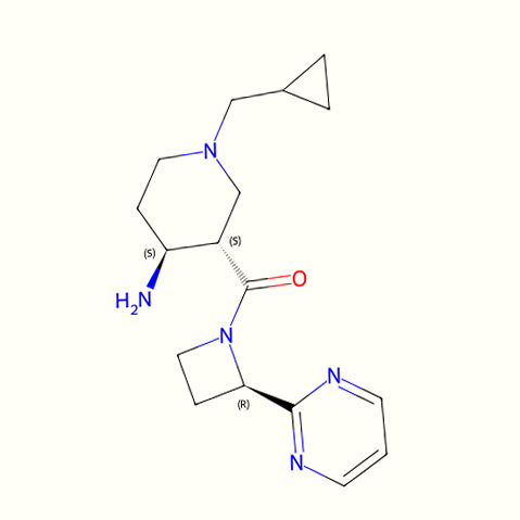 N[C@H]1CCN(CC2CC2)C[C@@H]1C(=O)N1CC[C@@H]1c1ncccn1